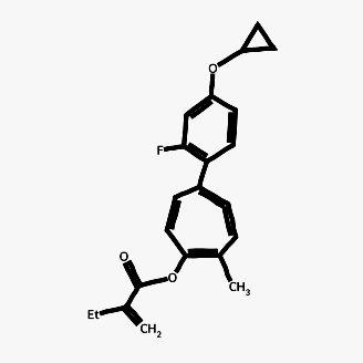 C=C(CC)C(=O)OC1=C(C)C=C=C(c2ccc(OC3CC3)cc2F)C=C1